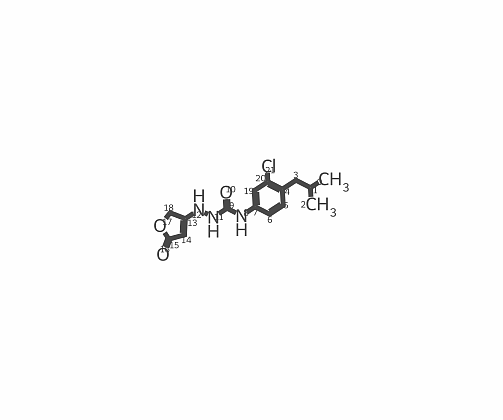 CC(C)Cc1ccc(NC(=O)NNC2=CC(=O)OC2)cc1Cl